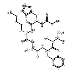 CCCN(C(=O)[C@H](Cc1ccccc1)NC(=O)[C@@H](NC(=O)[C@H](CCCCN)NC(=O)[C@H](Cc1c[nH]cn1)NC(=O)CN)C(C)C)[C@H](C(=O)O)C(C)C